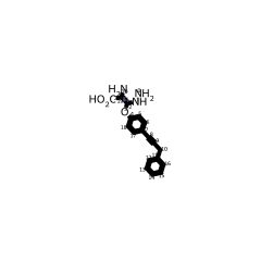 NN/C(Oc1ccc(C#CCc2ccccc2)cc1)=C(\N)C(=O)O